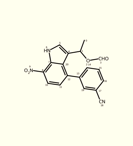 CC(OC=O)c1c[nH]c2c([N+](=O)[O-])ccc(-c3cccc(C#N)c3)c12